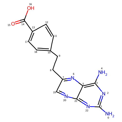 Nc1nc(N)c2nc(CCc3ccc(C(=O)O)cc3)cnc2n1